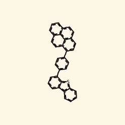 c1cc2ccc3ccc(-c4ccc(-c5cccc6c5sc5ccccc56)cc4)c4ccc(c1)c2c34